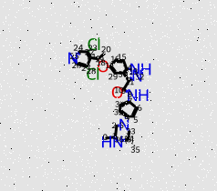 CC1CN(c2ccc(NC(=O)c3n[nH]c4ccc(OC(C)c5c(Cl)cncc5Cl)cc34)cc2)C[C@H](C)N1